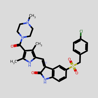 Cc1[nH]c(/C=C2\C(=O)Nc3ccc(S(=O)(=O)Cc4ccc(Cl)cc4)cc32)c(C)c1C(=O)N1CCN(C)CC1